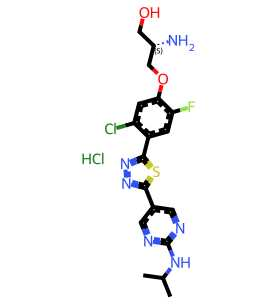 CC(C)Nc1ncc(-c2nnc(-c3cc(F)c(OC[C@@H](N)CO)cc3Cl)s2)cn1.Cl